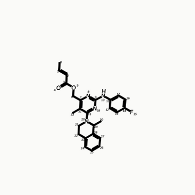 CC=CC(=O)OCc1nc(Nc2ccc(F)cc2)nc(N2CCc3ccccc3C2C)c1C